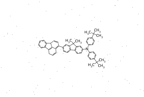 CC(C)(C)c1ccc(N(c2ccc(C(C)(C)C)cc2)c2ccc3c(c2)C(C)(C)c2cc(C4=C5C=CCC6=C5C(C=C4)c4ccccc46)ccc2-3)cc1